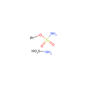 CC(C)OS(N)(=O)=O.NS(=O)(=O)O